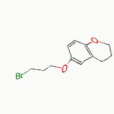 BrCCCOc1ccc2c(c1)CCCO2